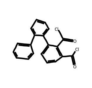 O=C(Cl)c1cccc(-c2ccccc2-c2ccccc2)c1C(=O)Cl